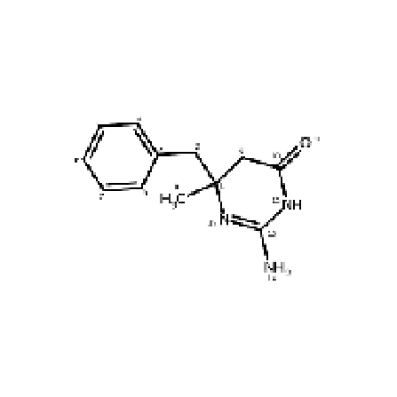 CC1(Cc2ccccc2)CC(=O)NC(N)=N1